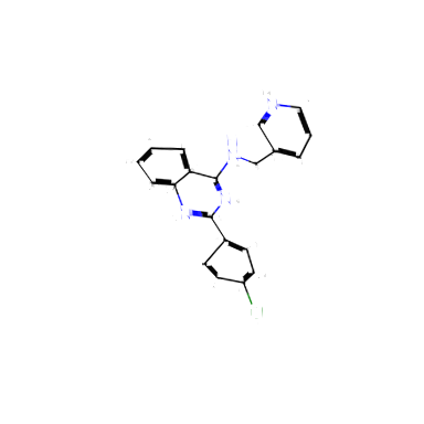 Clc1ccc(-c2nc(NCc3cccnc3)c3ccccc3n2)cc1